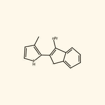 CCCC1=C(c2[pH]ccc2C)[CH]c2ccccc21